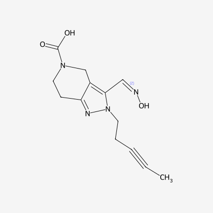 CC#CCCn1nc2c(c1/C=N\O)CN(C(=O)O)CC2